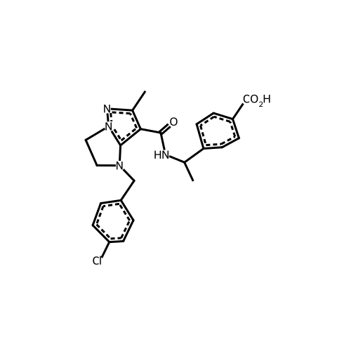 Cc1nn2c(c1C(=O)NC(C)c1ccc(C(=O)O)cc1)N(Cc1ccc(Cl)cc1)CC2